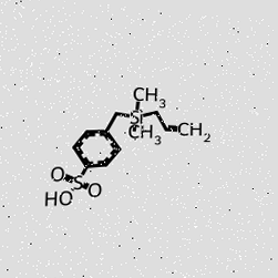 C=CC[Si](C)(C)Cc1ccc(S(=O)(=O)O)cc1